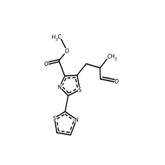 COC(=O)c1nc(-c2nccs2)sc1CC(C)C=O